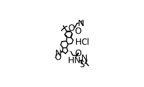 CO/N=C1\C[C@@H](CCC(=O)Nc2ncc(C)s2)C2C3CCc4cc(OC(=O)CN(C)C)c(C(C)(C)C)cc4C3CC[C@]12C.Cl